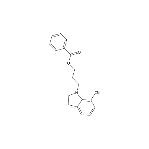 N#Cc1cccc2c1N(CCCOC(=O)c1ccccc1)CC2